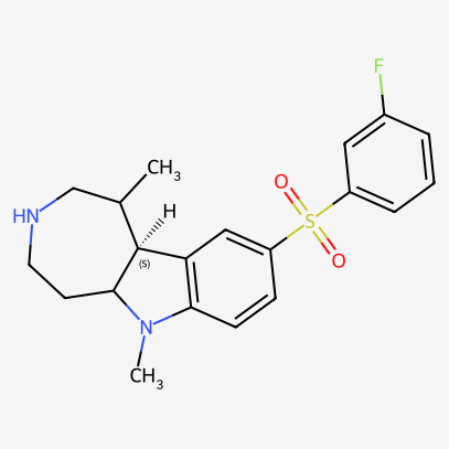 CC1CNCCC2[C@@H]1c1cc(S(=O)(=O)c3cccc(F)c3)ccc1N2C